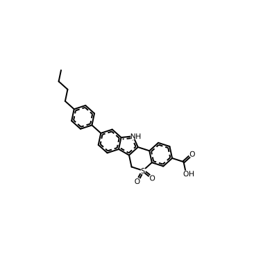 CCCCc1ccc(-c2ccc3c4c([nH]c3c2)-c2ccc(C(=O)O)cc2S(=O)(=O)C4)cc1